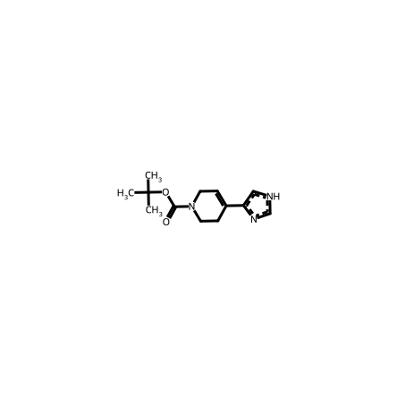 CC(C)(C)OC(=O)N1CC=C(c2c[nH]cn2)CC1